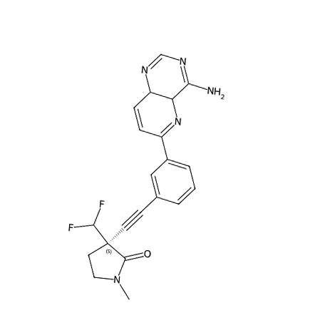 CN1CC[C@@](C#Cc2cccc(C3=NC4C(N)=NC=NC4C=C3)c2)(C(F)F)C1=O